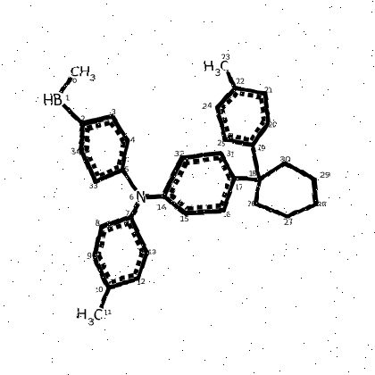 CBc1ccc(N(c2ccc(C)cc2)c2ccc(C3(c4ccc(C)cc4)CCCCC3)cc2)cc1